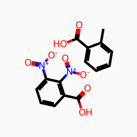 Cc1ccccc1C(=O)O.O=C(O)c1cccc([N+](=O)[O-])c1[N+](=O)[O-]